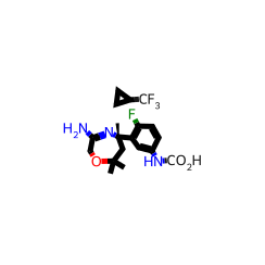 CC1(C)C[C@@](C)(c2cc(NC(=O)O)ccc2F)N=C(N)CO1.FC(F)(F)C1CC1